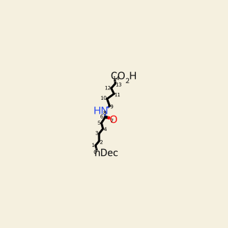 CCCCCCCCCCCCCCCC(=O)NCCCCCC(=O)O